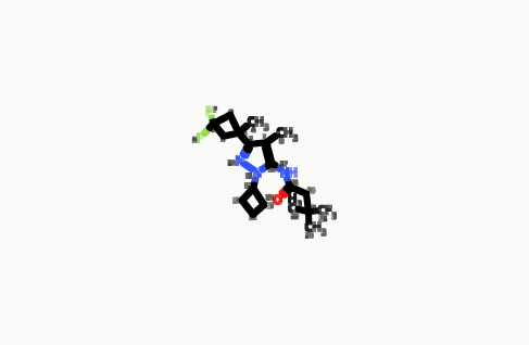 Cc1c(C2(C)CC(F)(F)C2)nn(C2CCC2)c1NC(=O)CC(C)(C)C(F)(F)F